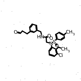 CCc1c(Cl)cccc1N(CC(=O)NCc1cccc(CCC=O)c1)S(=O)(=O)c1ccc(C)cc1